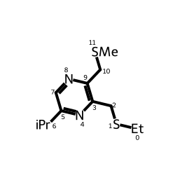 CCSCc1nc(C(C)C)cnc1CSC